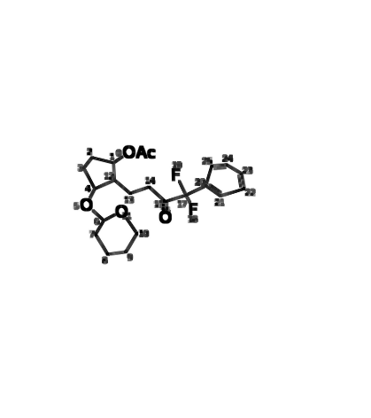 CC(=O)OC1CCC(OC2CCCCO2)C1CCC(=O)C(F)(F)c1ccccc1